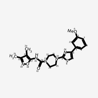 COc1cccc(-c2csc(N3CCN(C(=O)Nc4onc(C)c4C)CC3)n2)c1